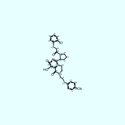 N#Cc1ccc(SCCN2CCn3c(C4CCCN4C(=O)CSc4ccccc4Cl)nc(=O)c(O)c3C2=O)cc1